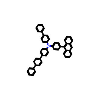 C1=CC(c2ccccc2)CC=C1c1ccc(N(c2ccc(-c3ccccc3)cc2)c2ccc(-c3c4ccccc4cc4ccccc34)cc2)cc1